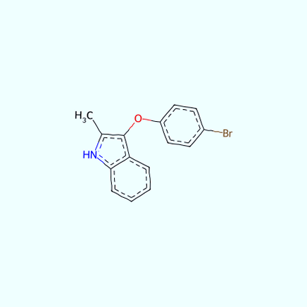 Cc1[nH]c2ccccc2c1Oc1ccc(Br)cc1